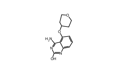 Nc1nc(O)nc2cccc(OC3CCOCC3)c12